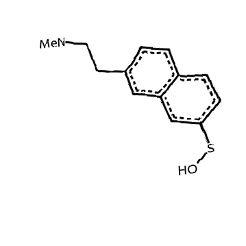 CNCCc1ccc2ccc(SO)cc2c1